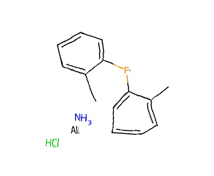 Cc1ccccc1[P]c1ccccc1C.Cl.N.[Al]